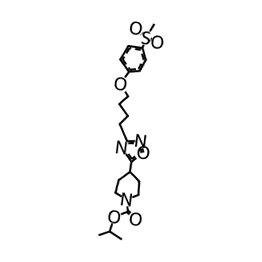 CC(C)OC(=O)N1CCC(c2nc(CCCCOc3ccc(S(C)(=O)=O)cc3)no2)CC1